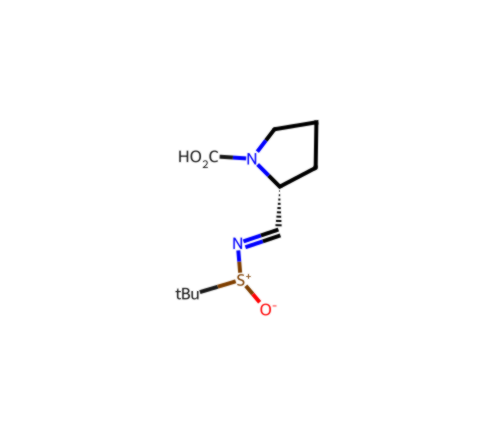 CC(C)(C)[S+]([O-])/N=C/[C@H]1CCCN1C(=O)O